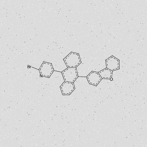 Brc1ccc(-c2c3ccccc3c(-c3ccc4oc5ccccc5c4c3)c3ccccc23)cn1